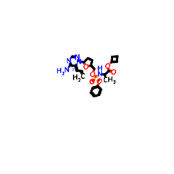 C=C/C=C1/C(N)=NC=NN1C1CCC(COP(=O)(NC(C)C(=O)OC2CCC2)Oc2ccccc2)O1